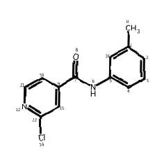 Cc1cccc(NC(=O)c2ccnc(Cl)c2)c1